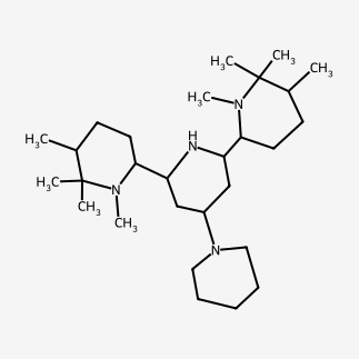 CC1CCC(C2CC(N3CCCCC3)CC(C3CCC(C)C(C)(C)N3C)N2)N(C)C1(C)C